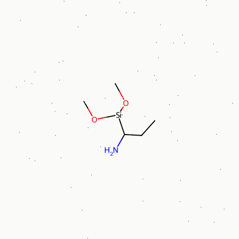 CCC(N)[Si](OC)OC